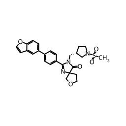 CS(=O)(=O)N1CC[C@@H](CN2C(=O)C3(CCOC3)N=C2c2ccc(-c3ccc4occc4c3)cc2)C1